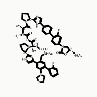 CC(=O)NCc1cc(-c2ccccc2F)c(N2CCOC2)cc1-c1c[nH]c([C@@H]2CCCN2[C@](NC(=O)O)(C(=O)OC(=O)N(C)[C@H](C(=O)N2CCC[C@H]2c2ncc(-c3ccc(-c4ccc(N5C[C@H](CNC(C)=O)OC5=O)cc4F)cc3)[nH]2)C(C)C)C(C)C)n1